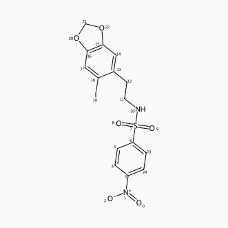 O=[N+]([O-])c1ccc(S(=O)(=O)NCCc2cc3c(cc2I)OCO3)cc1